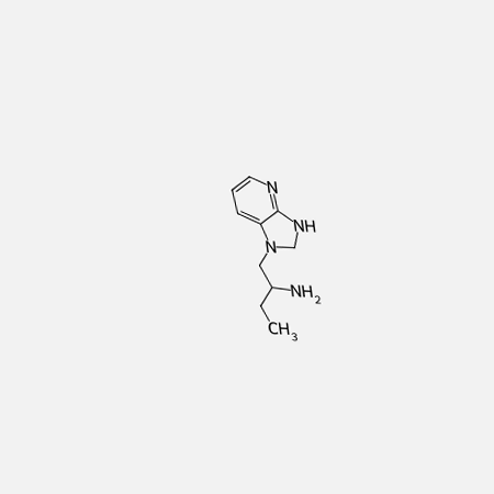 CCC(N)CN1CNc2ncccc21